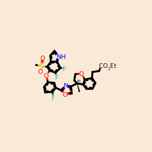 CCOC(=O)CCc1cccc2c1OCC[C@@]2(C)c1coc(-c2cc(Oc3c(F)c(F)c4[nH]ccc4c3S(C)(=O)=O)ccc2F)n1